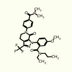 CCCN(CC)C(=O)c1cc(OC)ccc1-n1nc(C(F)(F)F)c2c1C(=O)N(c1ccc(C(=O)N(C)C)cc1)CC2